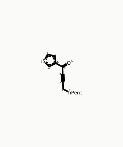 CCCCCCC#CC(=O)c1ccsc1